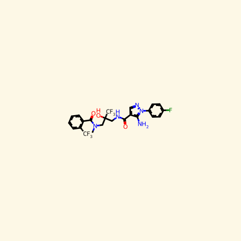 CN(CC(O)(CNC(=O)c1cnn(-c2ccc(F)cc2)c1N)C(F)(F)F)C(=O)c1ccccc1C(F)(F)F